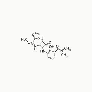 CC[C@H](Nc1c(Nc2cccc(C(=O)N(C)C)c2O)c(=O)c1=O)c1cccs1